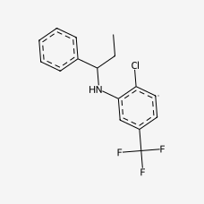 CCC(Nc1cc(C(F)(F)F)c[c]c1Cl)c1ccccc1